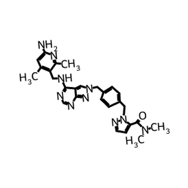 Cc1cc(N)nc(C)c1CNc1ncnc2nn(Cc3ccc(Cn4nccc4C(=O)N(C)C)cc3)cc12